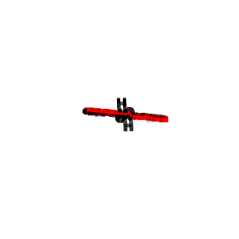 CCCCCCCC/C=C/CCCCCCCCCCCC(=O)NCCNC(=O)CCCCCCCCCCC/C=C/CCCCCCCC